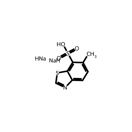 Cc1ccc2ncsc2c1S(=O)(=O)O.[NaH].[NaH]